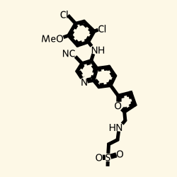 COc1cc(Nc2c(C#N)cnc3cc(-c4ccc(CNCCS(C)(=O)=O)o4)ccc23)c(Cl)cc1Cl